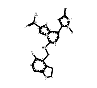 Cc1cc(-c2cnc(NCc3c(F)ccc4c3CCO4)n3cc(C(N)=O)nc23)n(C)n1